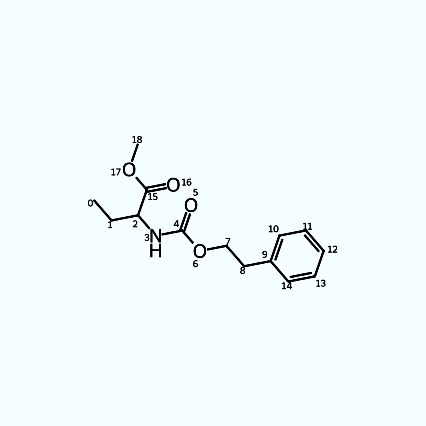 CCC(NC(=O)OCCc1ccccc1)C(=O)OC